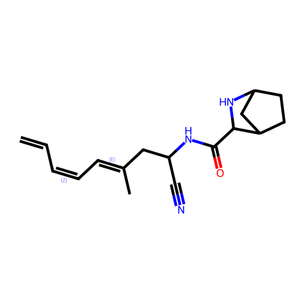 C=C/C=C\C=C(/C)CC(C#N)NC(=O)C1NC2CCC1C2